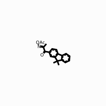 CC(=O)O/N=C(\C)C(=O)c1ccc2c(c1)C(C)(C)c1ccccc1-2